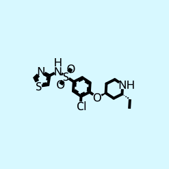 CC[C@@H]1C[C@@H](Oc2ccc(S(=O)(=O)Nc3cscn3)cc2Cl)CCN1